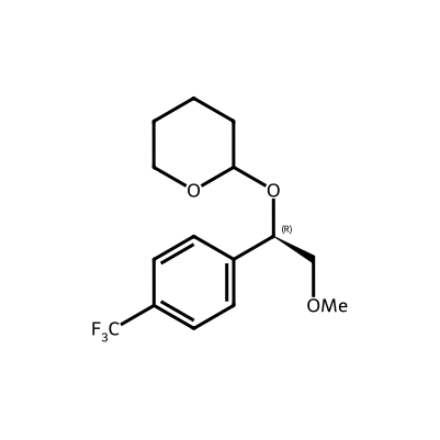 COC[C@H](OC1CCCCO1)c1ccc(C(F)(F)F)cc1